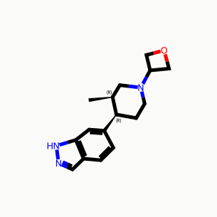 C[C@H]1CN(C2COC2)CC[C@H]1c1ccc2cn[nH]c2c1